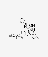 CCOC(=O)C1CC1C1CC(c2ccc(C)cc2C)N2NC(O)=C(N=Nc3ccccc3)C2N1